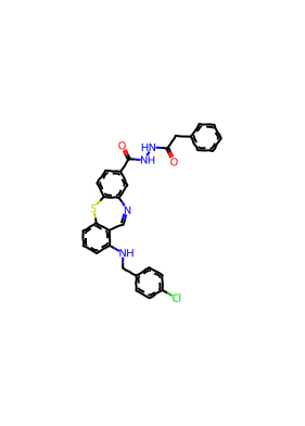 O=C(Cc1ccccc1)NNC(=O)c1ccc2c(c1)N=Cc1c(NCc3ccc(Cl)cc3)cccc1S2